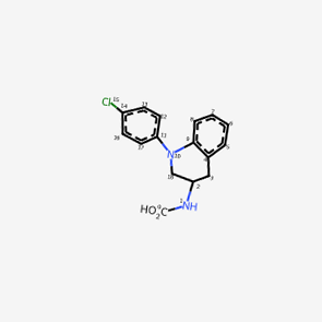 O=C(O)NC1Cc2ccccc2N(c2ccc(Cl)cc2)C1